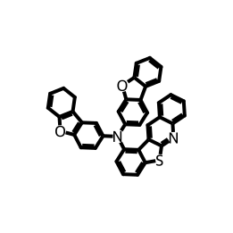 C1=Cc2oc3ccc(N(c4ccc5c(c4)oc4ccccc45)c4cccc5sc6nc7ccccc7cc6c45)cc3c2CC1